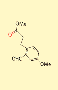 COC(=O)CCc1ccc(OC)cc1C=O